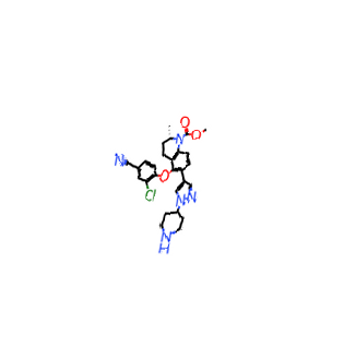 COC(=O)N1c2ccc(-c3cnn(C4CCNCC4)c3)c(Oc3ccc(C#N)cc3Cl)c2CC[C@@H]1C